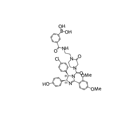 COc1ccc(C2=N[C@@H](c3ccc(O)cc3)[C@@H](c3ccc(Cl)cc3)N2C(=O)N2CCN(CCNC(=O)c3cccc(B(O)O)c3)C(=O)C2)c(OC)c1